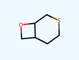 C1CC2COC2CS1